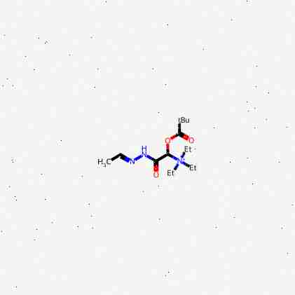 C/C=N/NC(=O)C(OC(=O)C(C)(C)C)[N+](CC)(CC)CC